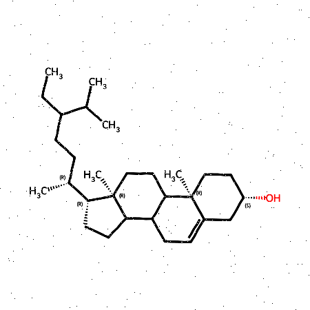 CCC(CC[C@@H](C)[C@H]1CCC2C3CC=C4C[C@@H](O)CC[C@]4(C)C3CC[C@@]21C)C(C)C